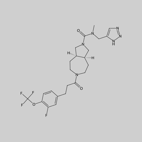 CN(Cc1cnn[nH]1)C(=O)N1C[C@H]2CCN(C(=O)CCc3ccc(OC(F)(F)F)c(F)c3)CC[C@H]2C1